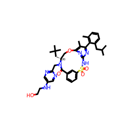 Cc1cccc(CC(C)C)c1-c1nc2nc(c1C)OC[C@@H](CC(C)(C)C)N(Cc1ncc(NCCO)cn1)C(=O)c1cccc(c1)S(=O)(=O)N2